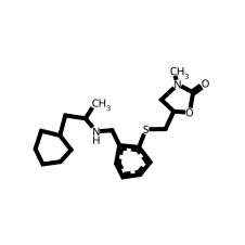 CC(CC1CCCCC1)NCc1ccccc1SCC1CN(C)C(=O)O1